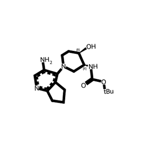 CC(C)(C)OC(=O)N[C@@H]1CN(c2c(N)cnc3c2CCC3)CC[C@H]1O